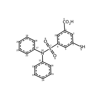 O=C(O)c1cc(S)cc(S(=O)(=O)N(c2ccccc2)c2ccccc2)c1